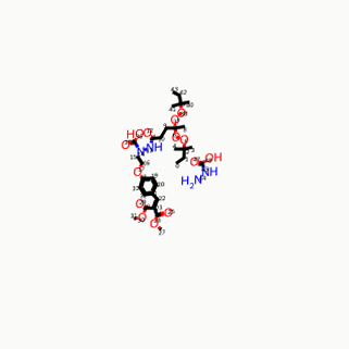 CCC(C)(C)OOC(C)(CCC(=O)NN(CCOc1ccc(C=C(C(=O)OC)C(=O)OC)cc1)C(=O)O)OOC(C)(C)CC.NNC(=O)O